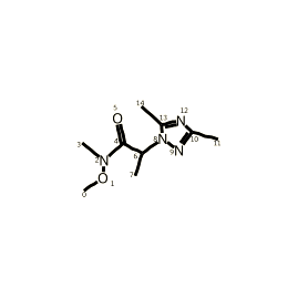 CON(C)C(=O)C(C)n1nc(C)nc1C